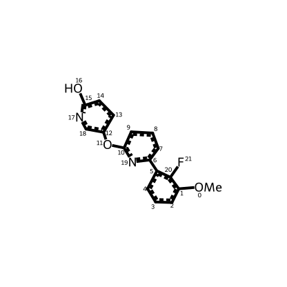 COc1cccc(-c2cccc(Oc3ccc(O)nc3)n2)c1F